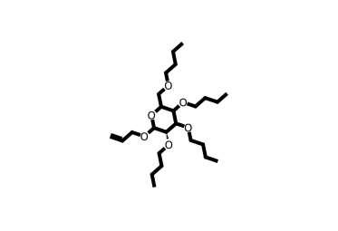 C=CCOC1OC(COCCCC)C(OCCCC)C(OCCCC)[C@@H]1OCCCC